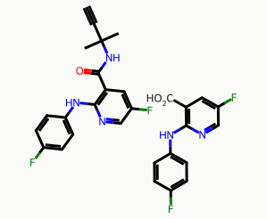 C#CC(C)(C)NC(=O)c1cc(F)cnc1Nc1ccc(F)cc1.O=C(O)c1cc(F)cnc1Nc1ccc(F)cc1